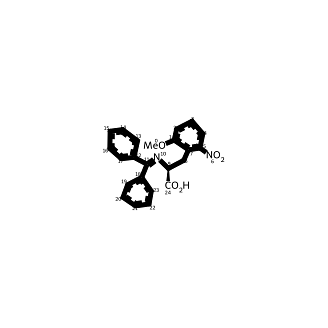 COc1cccc([N+](=O)[O-])c1C[C@H](N=C(c1ccccc1)c1ccccc1)C(=O)O